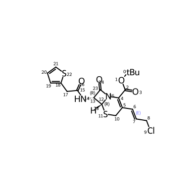 CC(C)(C)OC(=O)C1=C(/C=C/CCl)CS[C@@H]2[C@H](NC(=O)Cc3cccs3)C(=O)N12